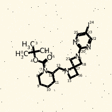 CC(C)(C)OC(=O)N1CCCCC1CN1CCC12CN(c1ncc(I)cn1)C2